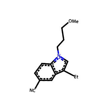 CCc1cn(CCCOC)c2ccc(C#N)cc12